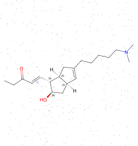 CCC(=O)/C=C/[C@@H]1[C@H]2CC(CCCCCN(C)C)=C[C@H]2C[C@H]1O